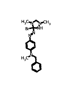 CN1CN(C)C(Br)(N=Nc2ccc(N(C)Cc3ccccc3)cc2)N1